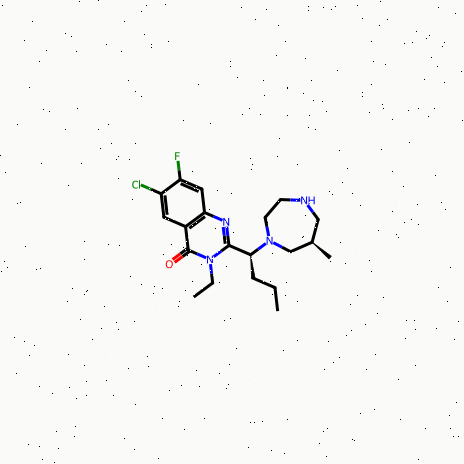 CCC[C@@H](c1nc2cc(F)c(Cl)cc2c(=O)n1CC)N1CCNC[C@@H](C)C1